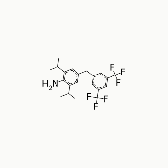 CC(C)c1cc(Cc2cc(C(F)(F)F)cc(C(F)(F)F)c2)cc(C(C)C)c1N